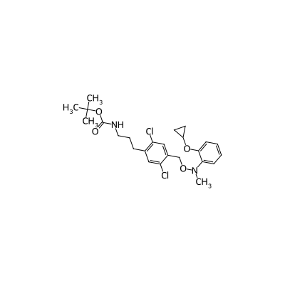 CN(OCc1cc(Cl)c(CCCNC(=O)OC(C)(C)C)cc1Cl)c1ccccc1OC1CC1